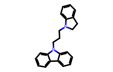 c1ccc2c(c1)CCN2CCCn1c2ccccc2c2ccccc21